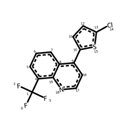 FC(F)(F)c1cccc2c(-c3ccc(Cl)s3)ccnc12